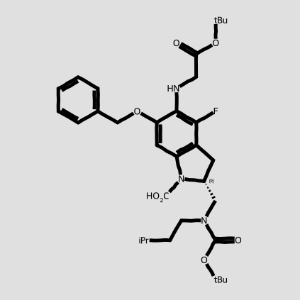 CC(C)CCN(C[C@H]1Cc2c(cc(OCc3ccccc3)c(NCC(=O)OC(C)(C)C)c2F)N1C(=O)O)C(=O)OC(C)(C)C